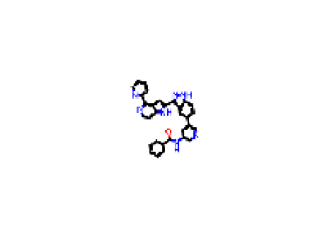 O=C(Nc1cncc(-c2ccc3[nH]nc(-c4cc5c(-c6ccccn6)nccc5[nH]4)c3c2)c1)c1ccccc1